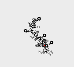 CO[C@H]1OC(COS(=O)(=O)O)[C@@H](O[C@H]2C[C@H](OCc3ccccc3)[C@H](O[C@H]3OC(COS(=O)(=O)O)[C@H](O[C@H]4C[C@H](OCc5ccccc5)[C@H](O[C@H]5OC(CO)[C@@H](O[C@H]6C[C@H](OCc7ccccc7)[C@H](O[C@@H]7OC(CO)[C@H](O[C@H]8C[C@H](OCc9ccccc9)[C@H](C)CO8)[C@H](C)C7N=[N+]=[N-])CO6)[C@H](C)C5N=[N+]=[N-])CO4)[C@H](C)C3N=[N+]=[N-])CO2)[C@H](C)C1C